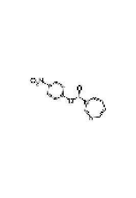 O=C(Oc1ccc([N+](=O)[O-])cc1)N1C=CC=CN=C1